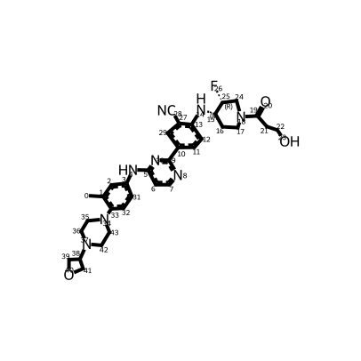 Cc1cc(Nc2ccnc(-c3ccc(N[C@H]4CCN(C(=O)CCO)C[C@H]4F)c(C#N)c3)n2)ccc1N1CCN(C2COC2)CC1